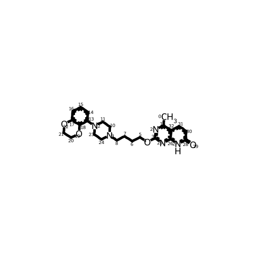 Cc1nc(OCCCCN2CCN(c3cccc4c3OCCO4)CC2)nc2[nH]c(=O)ccc12